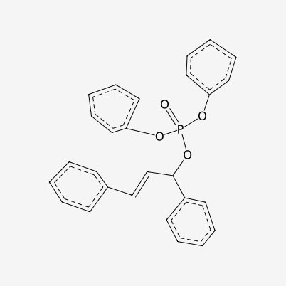 O=P(Oc1ccccc1)(Oc1ccccc1)OC(/C=C/c1ccccc1)c1ccccc1